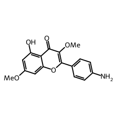 COc1cc(O)c2c(=O)c(OC)c(-c3ccc(N)cc3)oc2c1